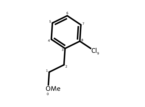 [CH2]OCCc1ccccc1Cl